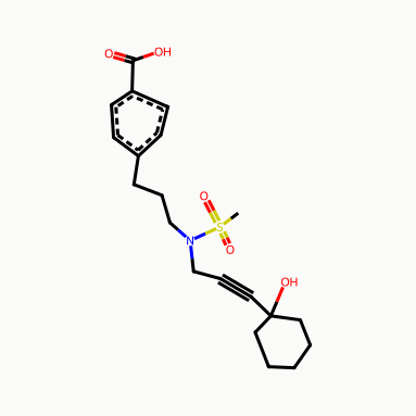 CS(=O)(=O)N(CC#CC1(O)CCCCC1)CCCc1ccc(C(=O)O)cc1